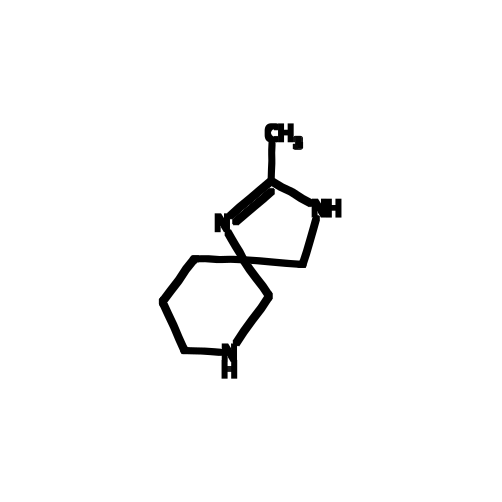 CC1=NC2(CCCNC2)CN1